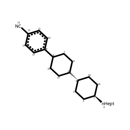 CCCCCCC[C@H]1CC[C@H](C2CCC(c3ccc(C#N)cc3)CC2)CC1